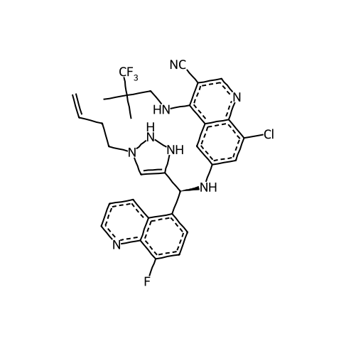 C=CCCN1C=C([C@@H](Nc2cc(Cl)c3ncc(C#N)c(NCC(C)(C)C(F)(F)F)c3c2)c2ccc(F)c3ncccc23)NN1